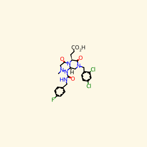 CN1CC(=O)N2[C@@H](CCC(=O)O)C(=O)N(Cc3ccc(Cl)cc3Cl)C[C@@H]2N1C(=O)NCc1ccc(F)cc1